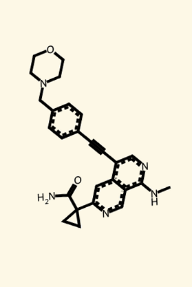 CNc1ncc(C#Cc2ccc(CN3CCOCC3)cc2)c2cc(C3(C(N)=O)CC3)ncc12